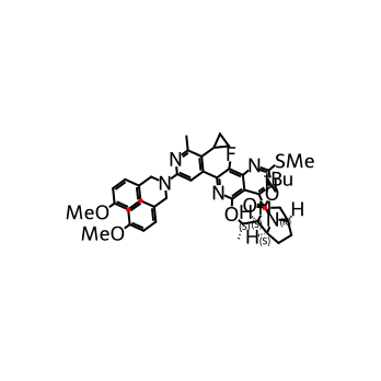 COc1ccc(CN(Cc2ccc(OC)cc2)c2cc(-c3nc4c5c(nc(SC)nc5c3F)N3C[C@H]5CC[C@@H]([C@H]3[C@H](C)O4)N5C(=O)OC(C)(C)C)c(C3CC3)c(C)n2)cc1